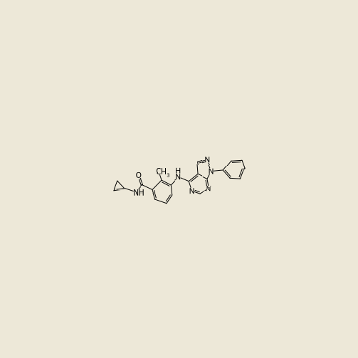 Cc1c(Nc2ncnc3c2cnn3-c2ccccc2)cccc1C(=O)NC1CC1